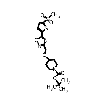 CC(C)(C)OC(=O)N1CCC(OCc2noc(-c3ccc(S(C)(=O)=O)s3)n2)CC1